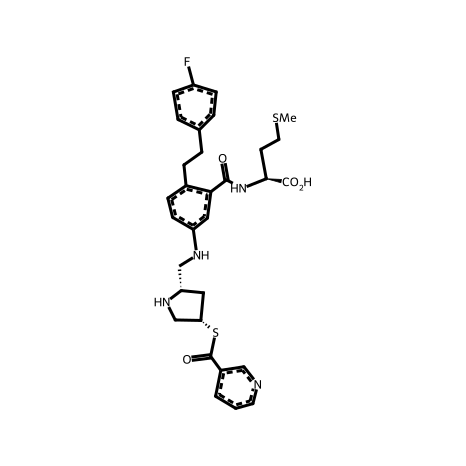 CSCC[C@H](NC(=O)c1cc(NC[C@@H]2C[C@H](SC(=O)c3cccnc3)CN2)ccc1CCc1ccc(F)cc1)C(=O)O